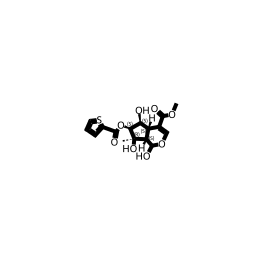 COC(=O)C1=COC(O)[C@H]2[C@@H]1[C@H](O)[C@H](OC(=O)c1cccs1)[C@]2(C)O